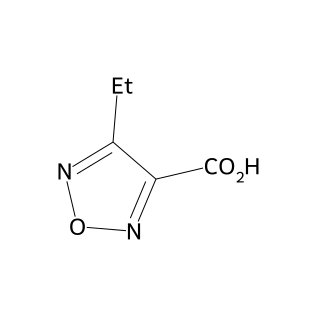 CCc1nonc1C(=O)O